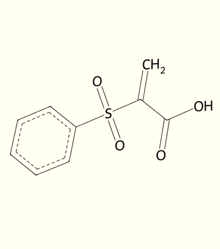 C=C(C(=O)O)S(=O)(=O)c1ccccc1